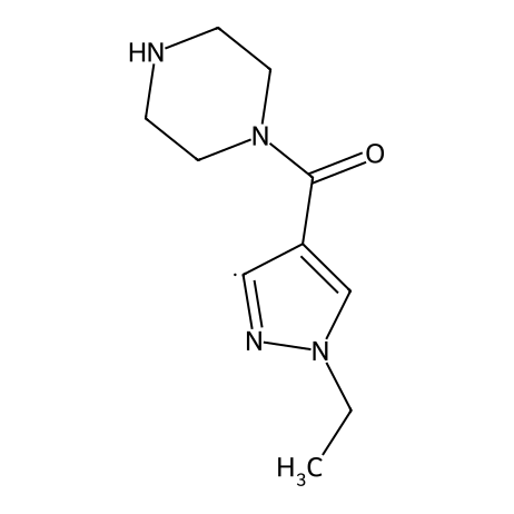 CCn1cc(C(=O)N2CCNCC2)[c]n1